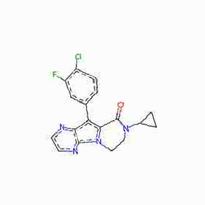 O=C1c2c(-c3ccc(Cl)c(F)c3)c3nccnc3n2CCN1C1CC1